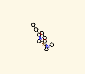 c1ccc(-c2ccc(-c3ccc(N(c4ccccc4-c4ccccc4)c4ccccc4-c4cccc5c4sc4c6ccccc6n(-c6ccccc6)c54)cc3)cc2)cc1